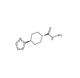 NNC(=O)[C@H]1CC[C@@H](n2cccn2)CC1